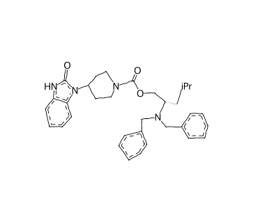 CC(C)C[C@@H](COC(=O)N1CCC(n2c(=O)[nH]c3ccccc32)CC1)N(Cc1ccccc1)Cc1ccccc1